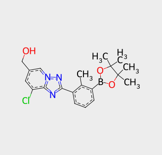 Cc1c(B2OC(C)(C)C(C)(C)O2)cccc1-c1nc2c(Cl)cc(CO)cn2n1